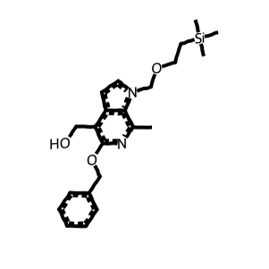 Cc1nc(OCc2ccccc2)c(CO)c2ccn(COCC[Si](C)(C)C)c12